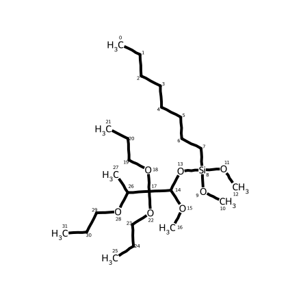 CCCCCCCC[Si](OC)(OC)OC(OC)C(OCCC)(OCCC)C(C)OCCC